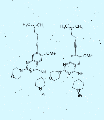 COc1cc2c(NC3CCN(C(C)C)CC3)nc(N3CCOCC3)nc2cc1C#CCCN(C)C.COc1cc2c(NC3CCN(C(C)C)CC3)nc(N3CCOCC3)nc2cc1C#CCCN(C)C